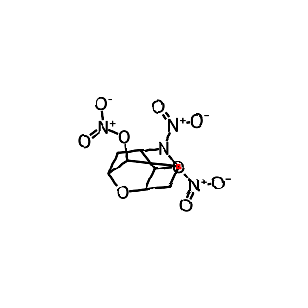 O=[N+]([O-])OC1C2CC3C(O[N+](=O)[O-])C(CC1N3[N+](=O)[O-])O2